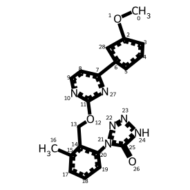 COc1cccc(-c2ccnc(OCc3c(C)cccc3-n3nn[nH]c3=O)n2)c1